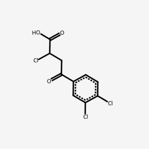 O=C(CC(Cl)C(=O)O)c1ccc(Cl)c(Cl)c1